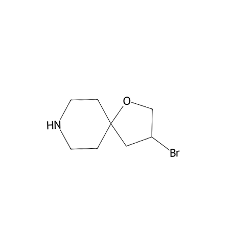 BrC1COC2(CCNCC2)C1